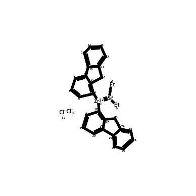 CC[Si](CC)=[Zr+2]([c]1cccc2c1Cc1ccccc1-2)[c]1cccc2c1Cc1ccccc1-2.[Cl-].[Cl-]